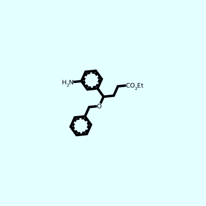 CCOC(=O)CCC(OCc1ccccc1)c1cccc(N)c1